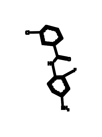 Nc1ccc(NC(=O)c2cccc(Cl)c2)c(F)c1